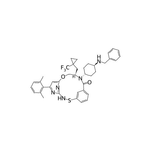 Cc1cccc(C)c1-c1cc2nc(n1)NSc1cccc(c1)C(=O)N([C@H]1CC[C@H](NCc3ccccc3)CC1)[C@H](CC1(C(F)(F)F)CC1)CO2